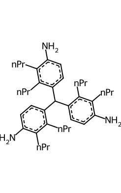 CCCc1c(N)ccc(C(c2ccc(N)c(CCC)c2CCC)c2ccc(N)c(CCC)c2CCC)c1CCC